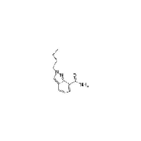 CCCCn1cc2cccc(C(N)=O)c2n1